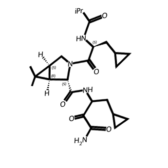 CC(C)C(=O)N[C@@H](CC1CC1)C(=O)N1C[C@H]2[C@@H]([C@H]1C(=O)NC(CC1CC1)C(=O)C(N)=O)C2(C)C